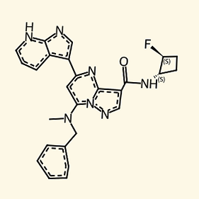 CN(Cc1ccccc1)c1cc(-c2cnc3[nH]cccc2-3)nc2c(C(=O)N[C@H]3CC[C@@H]3F)cnn12